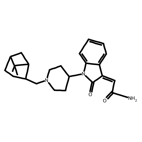 CC1(C)C2CCC(CN3CCC(N4C(=O)C(=CC(N)=O)c5ccccc54)CC3)C1C2